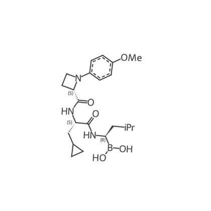 COc1ccc(N2CC[C@H]2C(=O)N[C@@H](CC2CC2)C(=O)N[C@@H](CC(C)C)B(O)O)cc1